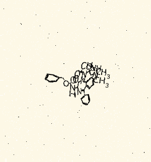 CC(=O)N(N1C(=O)C(NC(=O)OCc2ccccc2)N=C(c2ccccc2)c2ccccc21)C1(CN(C)C)NO1